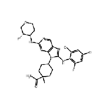 CC1(C(N)=O)CCC(n2c(Nc3c(F)cc(Cl)cc3Cl)nc3cnc(N[C@@H]4CCOC[C@H]4F)nc32)CC1